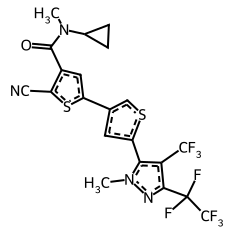 CN(C(=O)c1cc(-c2csc(-c3c(C(F)(F)F)c(C(F)(F)C(F)(F)F)nn3C)c2)sc1C#N)C1CC1